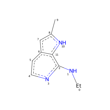 CCNc1nccc2cc(C)[nH]c12